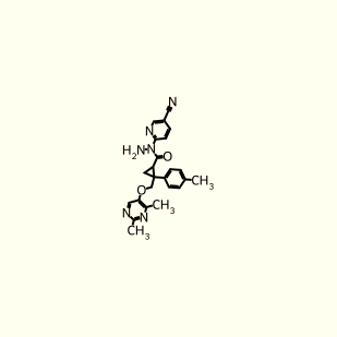 Cc1ccc(C2(COc3cnc(C)nc3C)CC2C(=O)N(N)c2ccc(C#N)cn2)cc1